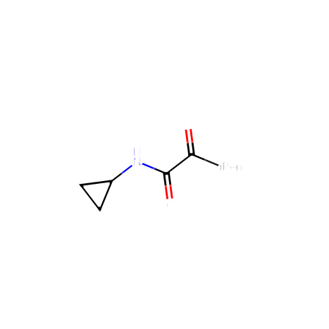 CCCC(C)C(=O)C(=O)NC1CC1